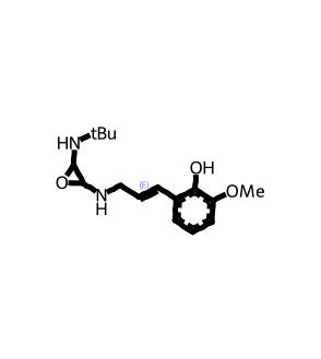 COc1cccc(/C=C/CNC2OC2NC(C)(C)C)c1O